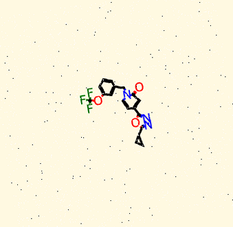 O=c1cc(-c2nnc(C3CC3)o2)ccn1Cc1cccc(OC(F)(F)F)c1